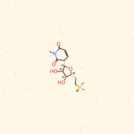 C=P(C)(C)CC[C@H]1O[C@@H](C2C=CC(=O)N(C)C2=O)[C@H](O)[C@@H]1O